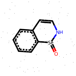 O=[Se]1NC=Cc2ccccc21